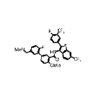 CNCc1ccc(F)c(-c2ccc(OC)c(C(=O)Nc3c(-c4ccc(F)c(C(F)(F)F)c4)sc4cc(C(F)(F)F)ccc34)c2)c1